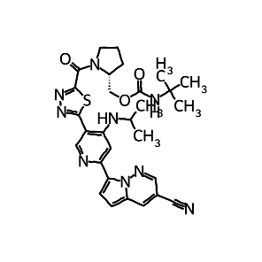 CC(C)Nc1cc(-c2ccc3cc(C#N)cnn23)ncc1-c1nnc(C(=O)N2CCC[C@@H]2COC(=O)NC(C)(C)C)s1